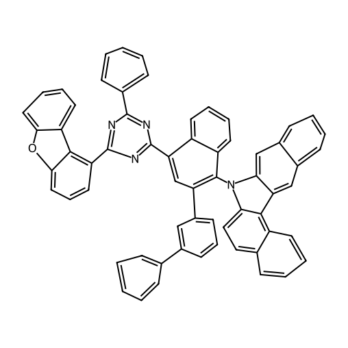 c1ccc(-c2cccc(-c3cc(-c4nc(-c5ccccc5)nc(-c5cccc6oc7ccccc7c56)n4)c4ccccc4c3-n3c4cc5ccccc5cc4c4c5ccccc5ccc43)c2)cc1